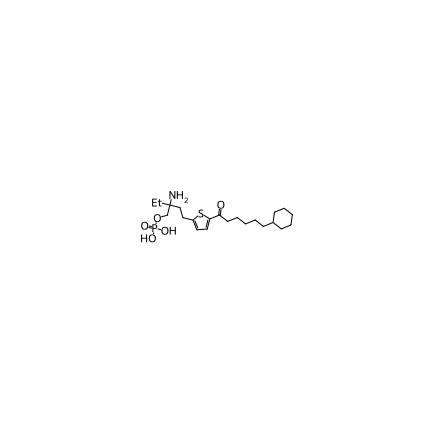 CCC(N)(CCc1ccc(C(=O)CCCCCC2CCCCC2)s1)COP(=O)(O)O